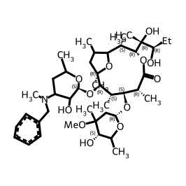 CC[C@@H](O)[C@@](C)(O)[C@@H]1OC(=O)[C@H](C)[C@@H](O[C@H]2CC(C)(OC)[C@@H](O)C(C)O2)[C@H](C)[C@@H](O[C@@H]2OC(C)CC(N(C)Cc3ccccc3)C2O)[C@@]2(C)CC(C)C(O2)[C@@H]1C